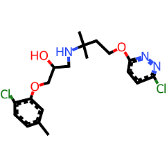 Cc1ccc(Cl)c(OCC(O)CNC(C)(C)CCOc2ccc(Cl)nn2)c1